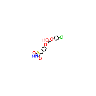 O=C1NC(=O)C(=Cc2ccc(OC[C@H](O)COc3ccc(Cl)cc3)cc2)S1